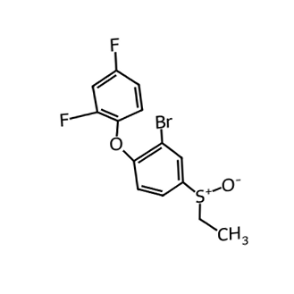 CC[S+]([O-])c1ccc(Oc2ccc(F)cc2F)c(Br)c1